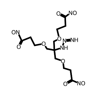 N=NNC(COCCC(=O)N=O)(COCCC(=O)N=O)COCCC(=O)N=O